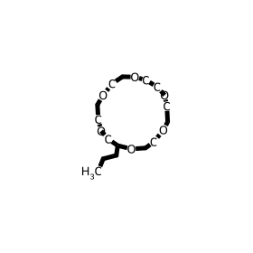 CCCC1COCCOCCOCCOCCOCCO1